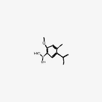 COc1cc(C)c(C(C)C)cc1B(O)O